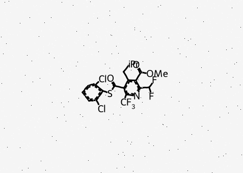 COC(=O)c1c(C(F)F)nc(C(F)(F)F)c(C(=O)Sc2c(Cl)cccc2Cl)c1CC(C)C